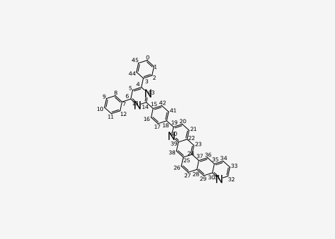 c1ccc(-c2cc(-c3ccccc3)nc(-c3ccc(-c4ccc5cc6c(ccc7cc8ncccc8cc76)cc5n4)cc3)n2)cc1